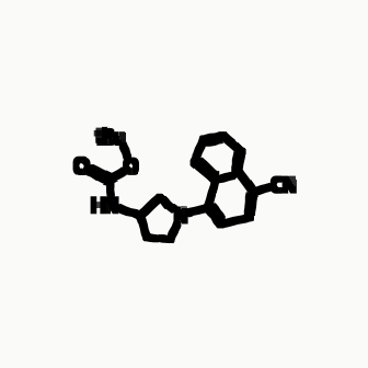 CC(C)(C)OC(=O)NC1CCN(c2ccc(C#N)c3ccccc23)C1